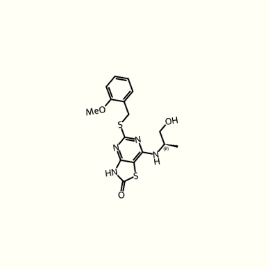 COc1ccccc1CSc1nc(N[C@H](C)CO)c2sc(=O)[nH]c2n1